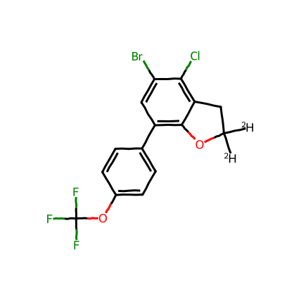 [2H]C1([2H])Cc2c(Cl)c(Br)cc(-c3ccc(OC(F)(F)F)cc3)c2O1